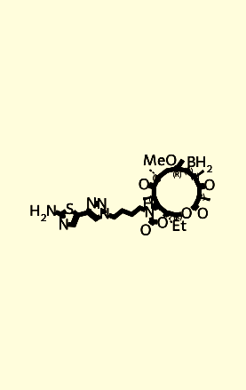 B[C@@H]1[C@@H](C)C(=O)[C@@H](C)C(=O)O[C@H](CC)[C@@]2(C)OC(=O)N(CCCCn3cc(-c4cnc(N)s4)nn3)[C@@H]2[C@@H](C)C(=O)[C@H](C)C[C@@]1(C)OC